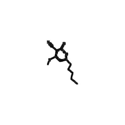 CCCCCc1cc(SC)c(C#N)c(=O)o1